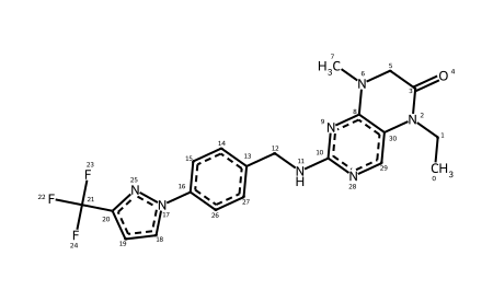 CCN1C(=O)CN(C)c2nc(NCc3ccc(-n4ccc(C(F)(F)F)n4)cc3)ncc21